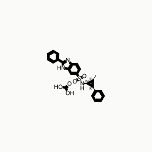 C[C@H]1[C@H](NS(=O)(=O)c2ccc3nc(-c4ccccc4)[nH]c3c2)[C@H]1c1ccccc1.O=C(O)O